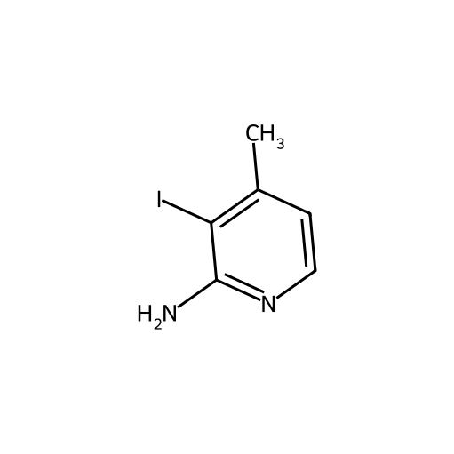 Cc1ccnc(N)c1I